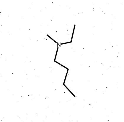 [CH2]CCCN(C)CC